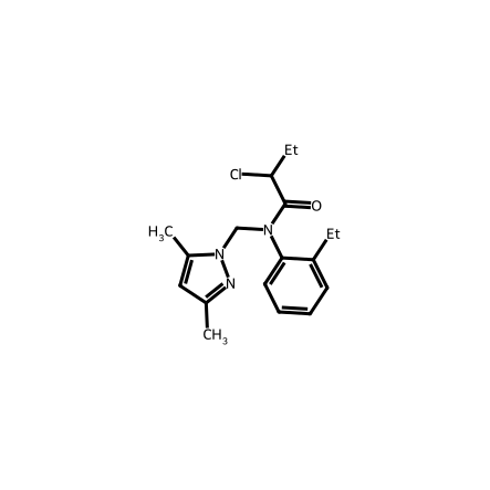 CCc1ccccc1N(Cn1nc(C)cc1C)C(=O)C(Cl)CC